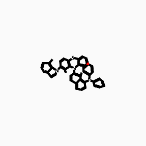 Cc1c(-n2ccc3cccc(C)c32)ccc2c1N(c1ccc3cccc(P(c4ccccc4)c4ccccc4)c3c1C)c1ccccc1S2